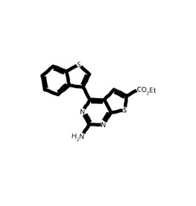 CCOC(=O)c1cc2c(-c3csc4ccccc34)nc(N)nc2s1